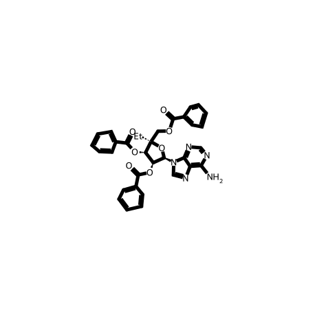 CC[C@]1(COC(=O)c2ccccc2)O[C@@H](n2cnc3c(N)ncnc32)[C@H](OC(=O)c2ccccc2)[C@@H]1OC(=O)c1ccccc1